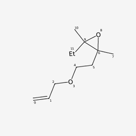 C=CCOCCC1(C)OC1(C)CC